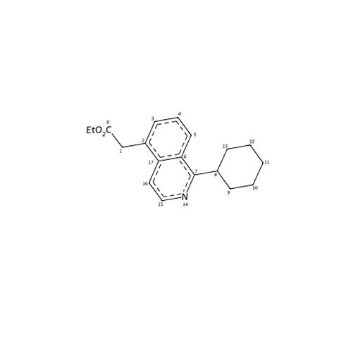 CCOC(=O)Cc1cccc2c(C3CCCCC3)nccc12